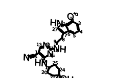 COc1cccc2c(CCNc3ncc(C#N)c(N[C@H]4CC[C@@H](O)CC4)n3)c[nH]c12